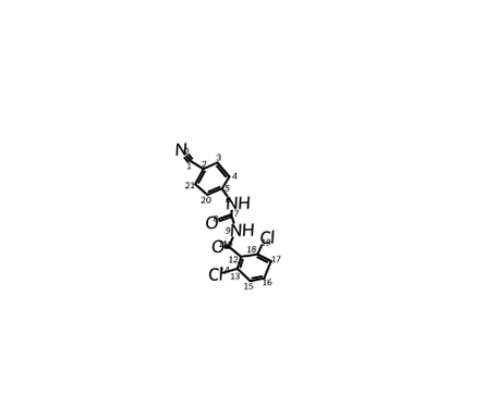 N#Cc1ccc(NC(=O)NC(=O)c2c(Cl)cccc2Cl)cc1